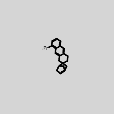 CC(C)c1cccc2cc3c(cc12)CC1(CC3)CC2=CCC1C2